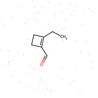 CCC1=C([C]=O)CC1